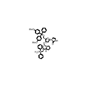 COc1ccc(C(OC[C@H]2O[C@@H](n3cc[nH]c3=O)C[C@@H]2OP2O[C@H](C[Si](C)(c3ccccc3)c3ccccc3)[C@@H]3CCCN32)(c2ccccc2)c2ccc(OC)cc2)cc1